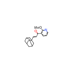 COc1ncccc1C(=O)/C=C/C12CC3CC(CC(C3)C1)C2